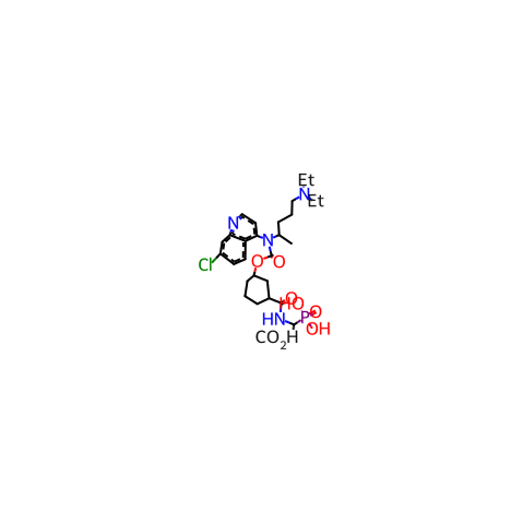 CCN(CC)CCCC(C)N(C(=O)OC1CCCC(C(=O)NC(C(=O)O)P(=O)(O)O)C1)c1ccnc2cc(Cl)ccc12